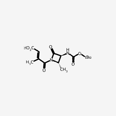 CC(=CC(=O)O)C(=O)N1C(=O)[C@@H](NC(=O)OC(C)(C)C)[C@@H]1C